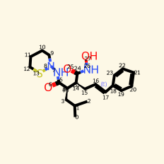 CC(C)C[C@@H](C(=O)NN1CCCCS1)[C@H](C/C=C/c1ccccc1)C(=O)NO